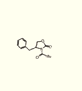 CCCCC(=O)N1C(=O)OCC1Cc1ccccc1